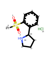 CC(C)S(=O)(=O)c1ccccc1C1CCCN1.Cl